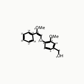 COC(=COc1ccc(CO)cc1OC)c1ccccc1